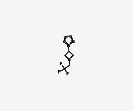 FC(F)(F)CN1CC(n2c[c]cn2)C1